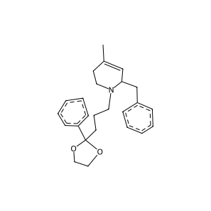 CC1=CC(Cc2ccccc2)N(CCCC2(c3ccccc3)OCCO2)CC1